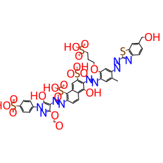 Cc1cc(N=Nc2c(S(=O)(=O)O)cc3c(S(=O)(=O)O)c(N=Nc4c(OC=O)nn(-c5ccc(S(=O)(=O)O)cc5)c4O)ccc3c2O)c(OCCCS(=O)(=O)O)cc1N=Nc1nc2ccc(CO)cc2s1